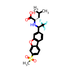 CC(C)C[C@H](NC(c1ccc2c(c1)oc1cc(S(C)(=O)=O)ccc12)C(F)(F)F)C(=O)O